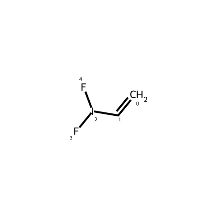 C=CI(F)F